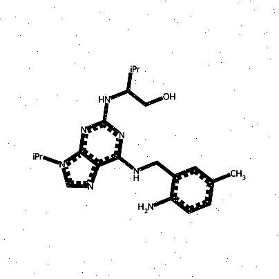 Cc1ccc(N)c(CNc2nc(NC(CO)C(C)C)nc3c2ncn3C(C)C)c1